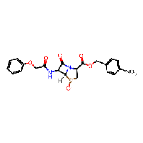 O=C(COc1ccccc1)NC1C(=O)N2C(C(=O)OCc3ccc([N+](=O)[O-])cc3)C[S+]([O-])[C@@H]12